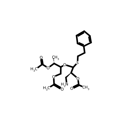 CC(=O)OCC(OC(SCCc1ccccc1)[C@H](CN)OC(C)=O)[C@@H](C)OC(C)=O